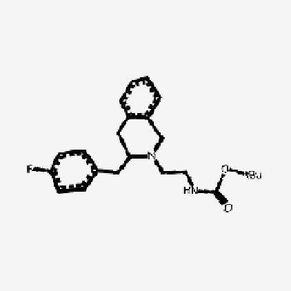 CC(C)(C)OC(=O)NCCN1Cc2ccccc2CC1Cc1ccc(F)cc1